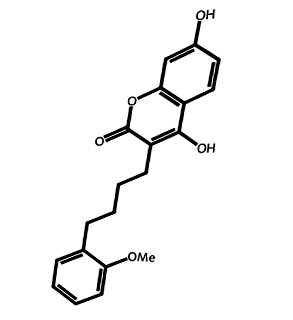 COc1ccccc1CCCCc1c(O)c2ccc(O)cc2oc1=O